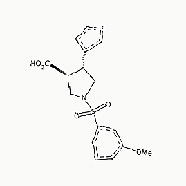 COc1cccc(S(=O)(=O)N2C[C@@H](C(=O)O)[C@H](c3ccsc3)C2)c1